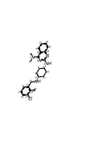 CN(C)c1nc(N[C@H]2CC[C@@H](NCc3cccc(Cl)c3F)CC2)nc2ccccc12